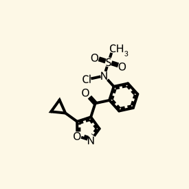 CS(=O)(=O)N(Cl)c1ccccc1C(=O)c1cnoc1C1CC1